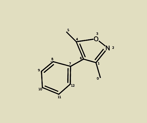 Cc1noc(C)c1-c1[c]cccc1